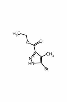 CCOC(=O)c1n[nH]c(Br)c1C